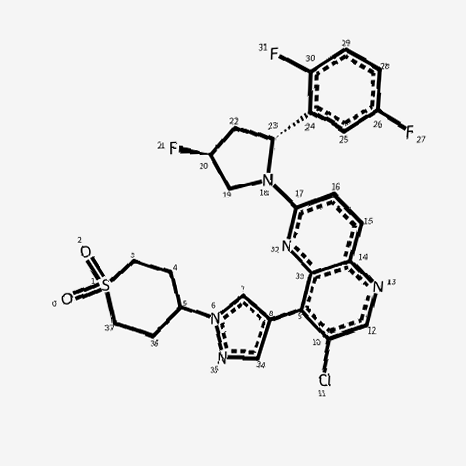 O=S1(=O)CCC(n2cc(-c3c(Cl)cnc4ccc(N5C[C@@H](F)C[C@@H]5c5cc(F)ccc5F)nc34)cn2)CC1